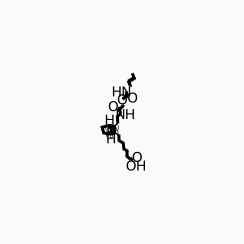 CC=CCNC(=O)OCC(=O)NCC[C@H]1[C@@H](CCCCCCC(=O)O)[C@H]2CC[C@@H]1O2